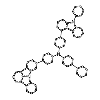 c1ccc(-c2ccc(N(c3ccc(-c4ccc5c6cccc7c8ccccc8n(c5c4)c76)cc3)c3ccc(-c4cccc5c4c4ccccc4n5-c4ccccc4)cc3)cc2)cc1